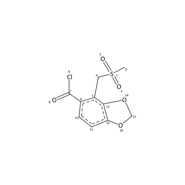 CS(=O)(=O)Cc1c(C(=O)Cl)ccc2c1OCO2